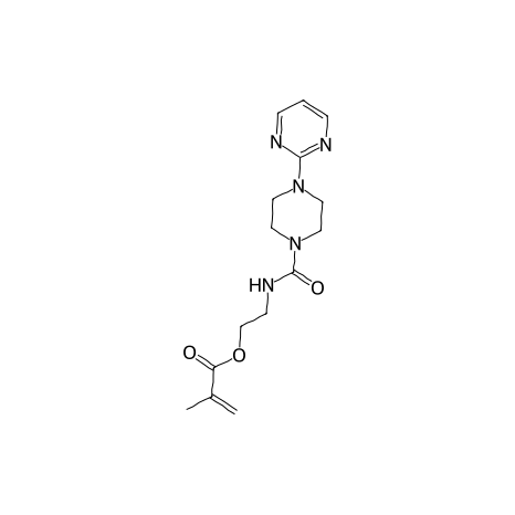 C=C(C)C(=O)OCCNC(=O)N1CCN(c2ncccn2)CC1